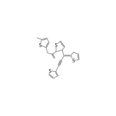 C=C(Cc1ccc(C)s1)C1SC=CC1/C(C#Cc1cccs1)=C1\CC=CS1